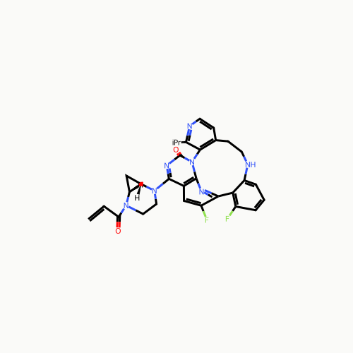 C=CC(=O)N1CCN(c2nc(=O)n3c4nc(c(F)cc24)-c2c(F)cccc2NCCc2ccnc(C(C)C)c2-3)[C@H]2C[C@H]21